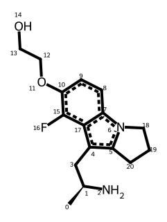 C[C@H](N)Cc1c2n(c3ccc(OCCO)c(F)c13)CCC2